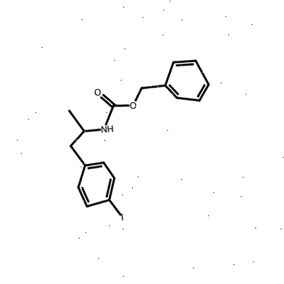 CC(Cc1ccc(I)cc1)NC(=O)OCc1ccccc1